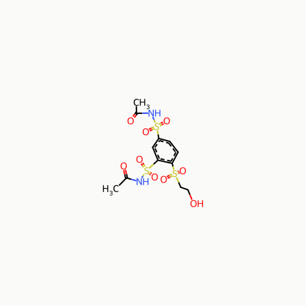 CC(=O)NS(=O)(=O)c1ccc(S(=O)(=O)CCO)c(S(=O)(=O)NC(C)=O)c1